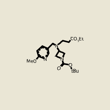 CCOC(=O)CCN(Cc1ccc(OC)nc1)C1CN(C(=O)OC(C)(C)C)C1